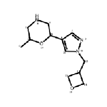 CC1CNCC(c2cnn(CC3COC3)c2)O1